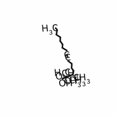 CCCCCCCCCCCCCCC(C)C(C)(C)C(C)(C)C(=O)O